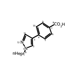 CCCCCCCn1cc(-c2ccc(C(=O)O)cc2)cn1